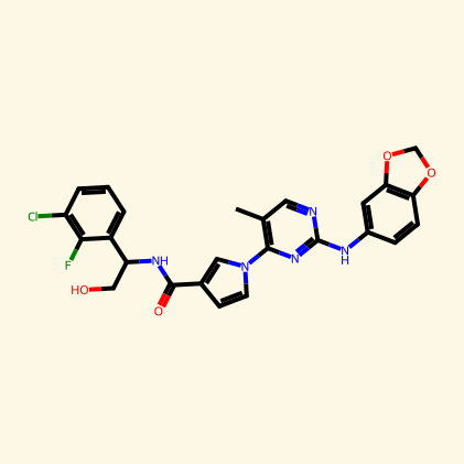 Cc1cnc(Nc2ccc3c(c2)OCO3)nc1-n1ccc(C(=O)NC(CO)c2cccc(Cl)c2F)c1